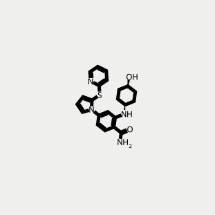 NC(=O)c1ccc(-n2cccc2Sc2ccccn2)cc1N[C@H]1CC[C@H](O)CC1